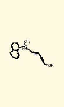 C[C@@H](NC/C=C/C#CCO)c1cccc2ccccc12